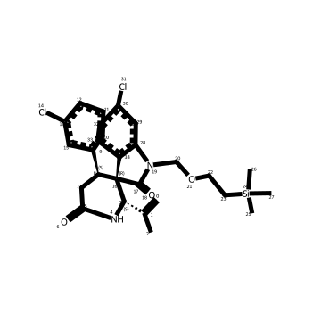 C=C(C)[C@@H]1NC(=O)C[C@@H](c2cccc(Cl)c2)[C@]12C(=O)N(COCC[Si](C)(C)C)c1cc(Cl)ccc12